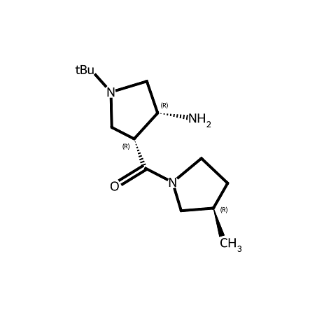 C[C@@H]1CCN(C(=O)[C@@H]2CN(C(C)(C)C)C[C@@H]2N)C1